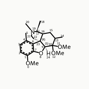 COc1ccc(C)c2c1O[C@@H]1C(OC)(OC)C(C)CC3[C@H](C)N(C)CC[C@]231